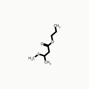 CCCOC(=O)CC(C)SC